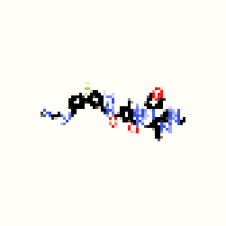 CCc1nc2c(cnn2CC)c(NC2CCOCC2)c1CNC(=O)c1cc(C)cc(C(=O)NCc2ccc(F)c(-c3cccc(CN(C)CCN(C)C)c3)c2)c1